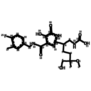 COC(C)(CO)CCC(CNC(=O)O)c1nc(C(=O)NCc2ccc(F)c(C)c2)c(O)c(=O)[nH]1